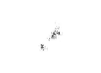 CC1(C)CCC(CN2CCN(c3ccc(C(=O)NS(=O)(=O)c4ccc(NCC5CCN(CCCCC#Cc6ccc7c(c6)C(=O)N(C6CCC(=O)NC6=O)C7=O)CC5)c([N+](=O)[O-])c4)c(Oc4cnc5[nH]ccc5c4)c3)CC2)=C(c2ccc(Cl)cc2)C1